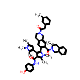 Cc1cccc(CC(=O)N2CCc3cc(-c4c(-c5cc(C#N)n(C)c5C)c(C(=O)Nc5ccc(O)cc5)c(C)n4C)c(C(=O)N4Cc5ccccc5C[C@H]4C)cc3C2)c1